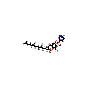 CC(C)=CCC/C(C)=C/CC/C(C)=C/CC[C@]1(C)CCc2cc(OC(=O)c3cccnc3)cc(C)c2O1